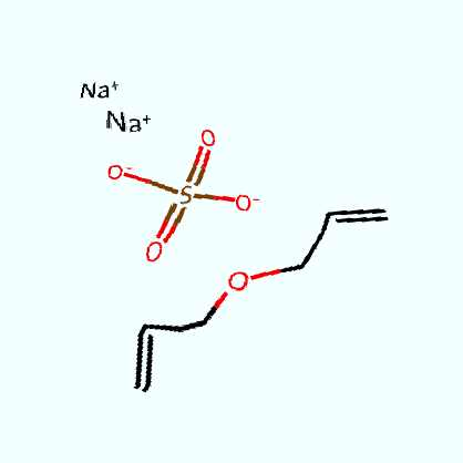 C=CCOCC=C.O=S(=O)([O-])[O-].[Na+].[Na+]